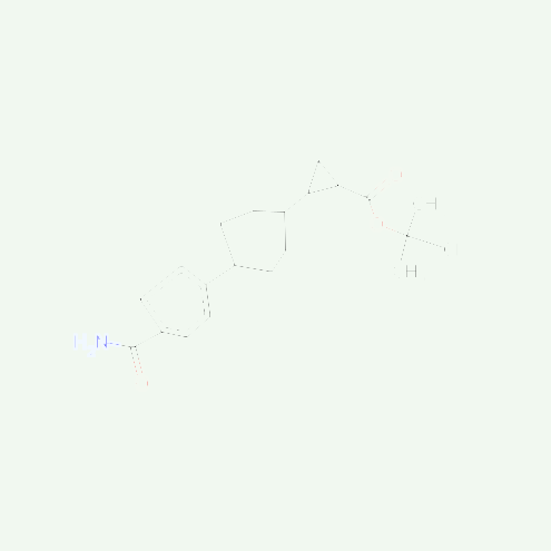 CC(C)(C)OC(=O)C1CC1C1CCC(c2ccc(C(N)=O)cc2)CC1